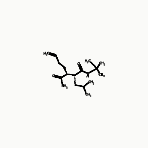 C=CCC[C@H](C(N)=O)[C@@H](CC(C)C)C(=O)NC(C)(C)C